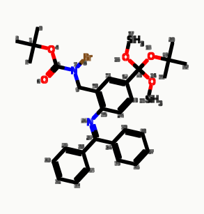 CC(C)(C)OC(=O)N(Br)Cc1cc(C(O[SiH3])(O[SiH3])OC(C)(C)C)ccc1N=C(c1ccccc1)c1ccccc1